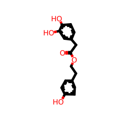 O=C(Cc1ccc(O)c(O)c1)OCCc1ccc(O)cc1